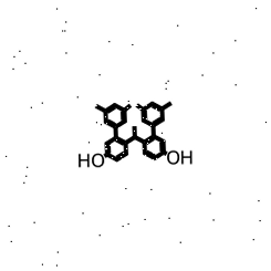 Cc1cc(C)cc(-c2cc(O)ccc2C(C)c2ccc(O)cc2-c2cc(C)cc(C)c2)c1